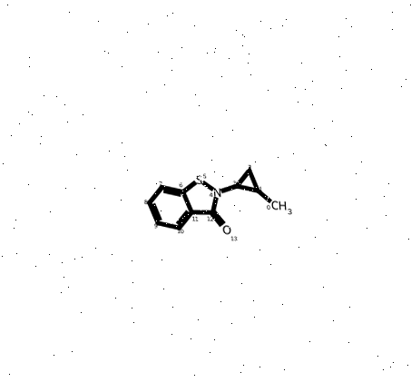 CC1CC1n1sc2ccccc2c1=O